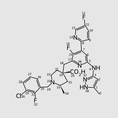 Cc1cc(Nc2cc(-c3ccc(F)cn3)c(F)c(C[C@@]3(C(=O)O)CCN(Cc4cccc(Cl)c4F)[C@H](C)C3)n2)n[nH]1